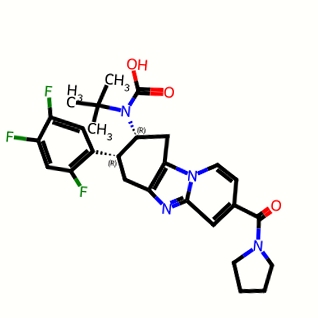 CC(C)(C)N(C(=O)O)[C@@H]1Cc2c(nc3cc(C(=O)N4CCCC4)ccn23)C[C@@H]1c1cc(F)c(F)cc1F